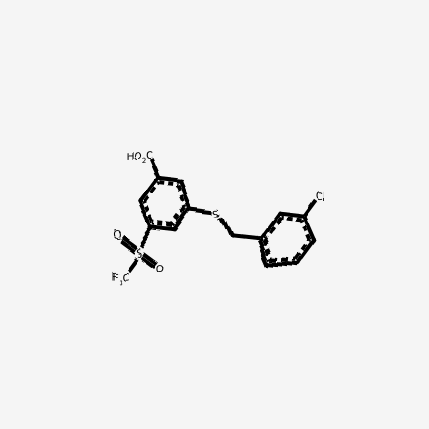 O=C(O)c1cc(SCc2cccc(Cl)c2)cc(S(=O)(=O)C(F)(F)F)c1